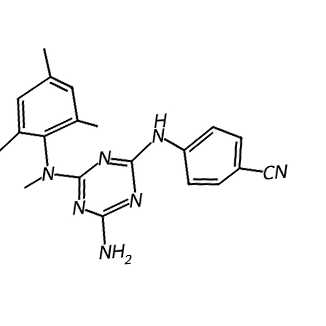 Cc1cc(C)c(N(C)c2nc(N)nc(Nc3ccc(C#N)cc3)n2)c(C)c1